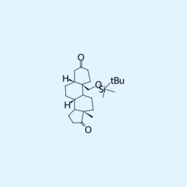 CC(C)(C)[Si](C)(C)OC[C@]12CCC(=O)C[C@H]1CC[C@@H]1C2CC[C@]2(C)C(=O)CCC12